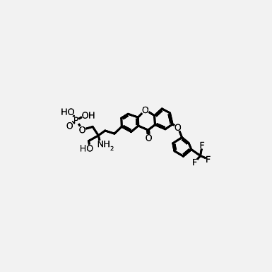 NC(CO)(CCc1ccc2oc3ccc(Oc4cccc(C(F)(F)F)c4)cc3c(=O)c2c1)COP(=O)(O)O